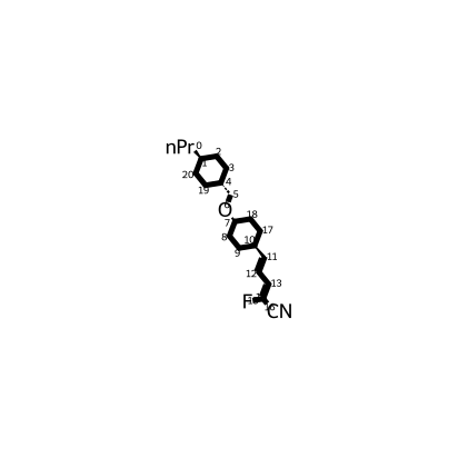 CCC[C@H]1CC[C@H](CO[C@H]2CC[C@H](/C=C/C=C(\F)C#N)CC2)CC1